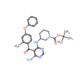 Cc1cc(Oc2ccccc2)ccc1C(=O)c1c(N)ncnc1NC1CCCN(C(=O)OC(C)(C)C)C1